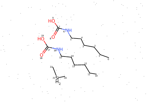 CCCCCCNC(=O)O.CCCCCCNC(=O)O.C[SiH2]C